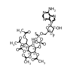 CC(=O)OCC(OC(C)=O)[C@H]1O[C@@H](OP(=O)(O)OP(O)(=S)OC[C@H]2O[C@@H](n3cnc4c(N)ncnc43)[C@H](O)[C@@H]2F)[C@@H](OC(C)=O)[C@@H](OC(C)=O)[C@@H]1OC(C)=O